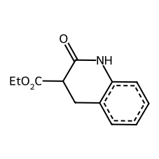 CCOC(=O)C1Cc2ccccc2NC1=O